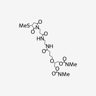 CNC(=O)OCC(COC(=O)NC)OCCCC(=O)NCCNC(=O)CCN1C(=O)CC(SC)C1=O